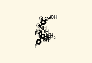 COc1cc(C(=O)NC[C@](O)(c2cc3c(c(-c4ccc(F)cc4)n2)OC[C@@]3(N)C(F)(F)F)C(F)(F)F)ccc1OCCO